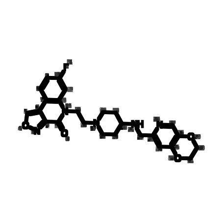 O=c1c2nocc2c2ccc(F)cc2n1CCN1CCC(NCc2cc3c(cn2)OCCO3)CC1